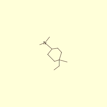 CCC1(C)CCC(N(C)C)CC1